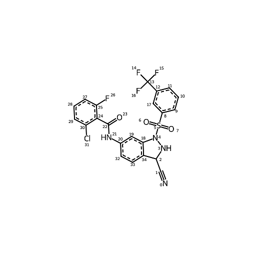 N#CC1NN(S(=O)(=O)c2cccc(C(F)(F)F)c2)c2cc(NC(=O)c3c(F)cccc3Cl)ccc21